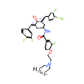 CCN(CC)CCOc1ccc(C(=O)NC2C/C(=C\c3ccc(F)c(F)c3)C(=O)/C(=C/c3ccc(F)c(F)c3)C2)cc1F